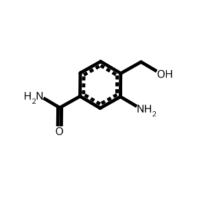 NC(=O)c1ccc(CO)c(N)c1